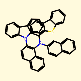 c1ccc2cc(N(c3c(-n4c5ccccc5c5ccccc54)ccc4ccccc34)c3cccc4c3sc3ccccc34)ccc2c1